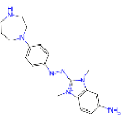 Cn1c(/N=N/c2ccc(N3CCCNCC3)cc2)[n+](C)c2ccc(N)cc21